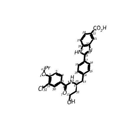 CC(C)Oc1ccc(C(=O)N[C@H](CCO)Cc2ccc(-c3nc4cc(C(=O)O)ccc4[nH]3)cc2)cc1Cl